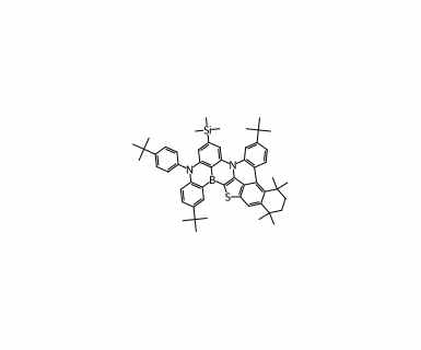 CC(C)(C)c1ccc(N2c3ccc(C(C)(C)C)cc3B3c4sc5cc6c(c7c5c4N(c4cc(C(C)(C)C)ccc4-7)c4cc([Si](C)(C)C)cc2c43)C(C)(C)CCC6(C)C)cc1